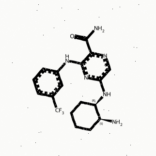 NC(=O)c1ncc(N[C@@H]2CCCC[C@@H]2N)nc1Nc1cccc(C(F)(F)F)c1